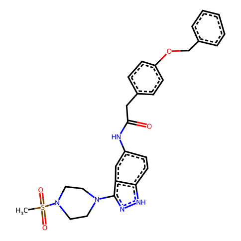 CS(=O)(=O)N1CCN(c2n[nH]c3ccc(NC(=O)Cc4ccc(OCc5ccccc5)cc4)cc23)CC1